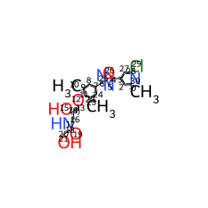 Cc1cc(-c2nc(-c3cc(C)c(OC[C@@H](O)CNC(=O)CO)c(C)c3)no2)cc(Cl)n1